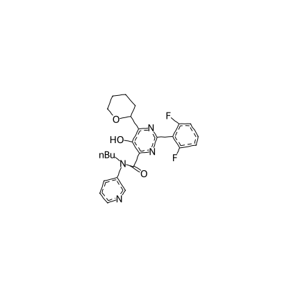 CCCCN(C(=O)c1nc(-c2c(F)cccc2F)nc(C2CCCCO2)c1O)c1cccnc1